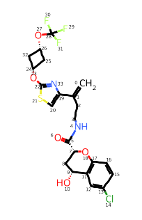 C=C(CCNC(=O)[C@H]1C[C@@H](O)c2cc(Cl)ccc2O1)c1csc(O[C@H]2C[C@@H](OC(F)(F)F)C2)n1